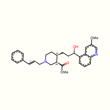 COC(=O)[C@H]1CN(C/C=C/c2ccccc2)CC[C@H]1CCC(O)c1cccc2ncc(OC)cc12